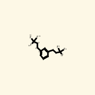 FC(F)(F)CCc1cccc(CCC(F)(F)F)c1